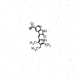 CCc1c(C)[nH]c(C=C2C(=O)Nc3ncc([N+](=O)[O-])cc32)c1C